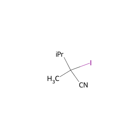 CC(C)C(C)(I)C#N